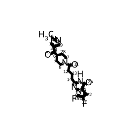 Cn1cc(C(=O)C2CCN(C(=O)CCCc3nn4c(F)c(F)cc4c(=O)[nH]3)CC2)cn1